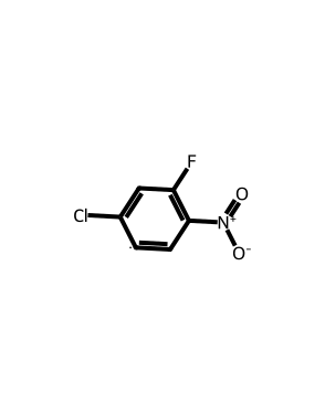 O=[N+]([O-])c1c[c]c(Cl)cc1F